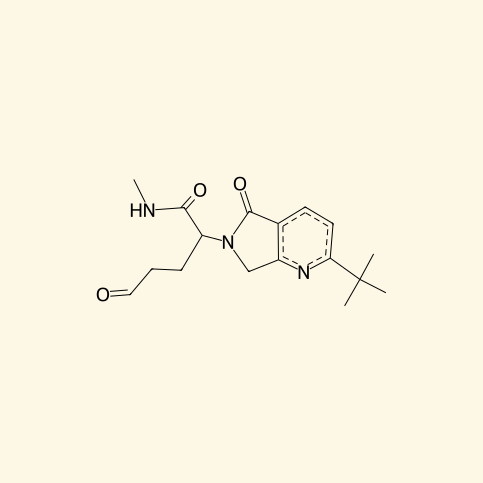 CNC(=O)C(CCC=O)N1Cc2nc(C(C)(C)C)ccc2C1=O